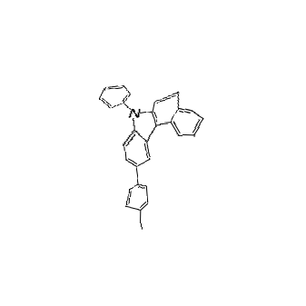 Cc1ccc(-c2ccc3c(c2)c2c4ccccc4ccc2n3-c2ccccc2)cc1